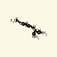 [CH2]C(COC(=O)/C=C/c1ccc(OC(=O)c2ccc(OCCCC(F)(F)C(F)(F)F)cc2)cc1)(Cc1ccc(N)cc1)Cc1ccc(N)cc1